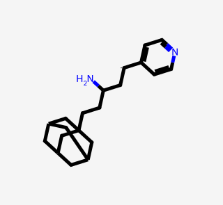 NC(C[CH]c1ccncc1)CCC12CC3CC(CC(C3)C1)C2